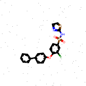 O=S(=O)(Nc1nccs1)c1ccc(Oc2ccc(-c3ccccc3)cc2)c(F)c1